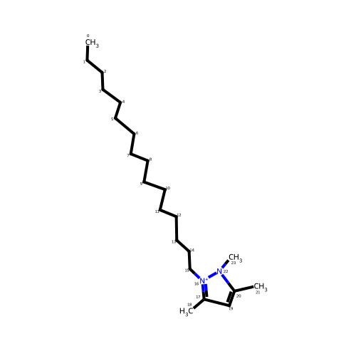 CCCCCCCCCCCCCCCC[n+]1c(C)cc(C)n1C